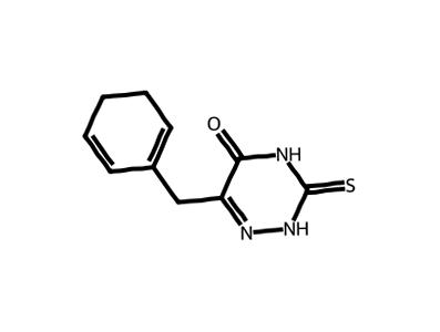 O=c1[nH]c(=S)[nH]nc1CC1=CCCC=C1